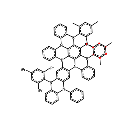 Cc1cc(C)c(B2c3ccccc3N3c4ccccc4B4c5cc6c(cc5N5c7ccccc7B(c7c(C)cc(C)cc7C)c7c(Oc8ccccc8)c2c3c4c75)N(c2ccccc2)c2ccccc2B6c2c(C(C)C)cc(C(C)C)cc2C(C)C)c(C)c1